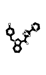 O=C(c1nnc(-c2ncccn2)o1)C1CN(Cc2ccc(Cl)cc2)c2ccccc21